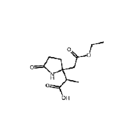 CCOC(=O)CC1(C(C)C(=O)O)CCC(=O)N1